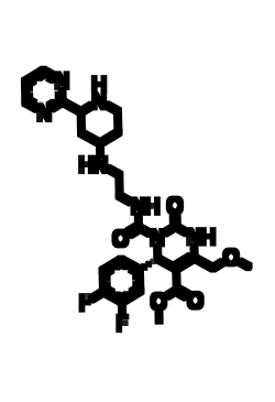 COCC1=C(C(=O)OC)[C@H](c2ccc(F)c(F)c2)N(C(=O)NCCNC2CCNC(c3ncccn3)C2)C(=O)N1